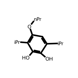 CCCOc1cc(C(C)C)c(O)c(O)c1C(C)C